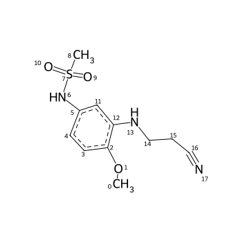 COc1ccc(NS(C)(=O)=O)cc1NCCC#N